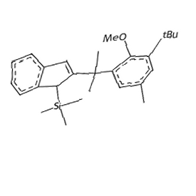 COc1c(C(C)(C)C)cc(C)cc1C(C)(C)C1=Cc2ccccc2C1[Si](C)(C)C